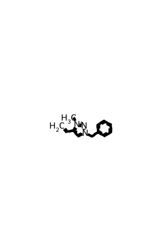 C=Cc1cn(Cc2ccccc2)n[n+]1C